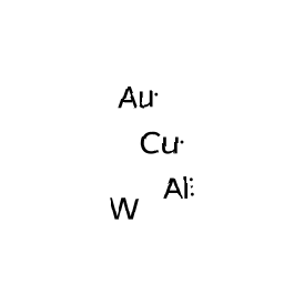 [Al].[Au].[Cu].[W]